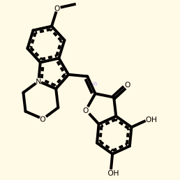 COc1ccc2c(c1)c(/C=C1\Oc3cc(O)cc(O)c3C1=O)c1n2CCOC1